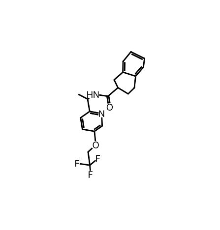 CC(NC(=O)C1CCc2ccccc2C1)c1ccc(OCC(F)(F)F)cn1